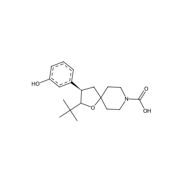 CC(C)(C)C1OC2(CCN(C(=O)O)CC2)C[C@@H]1c1cccc(O)c1